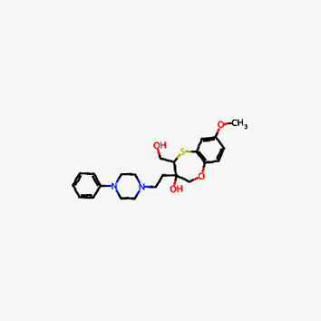 COc1ccc2c(c1)SC(CO)C(O)(CCN1CCN(c3ccccc3)CC1)CO2